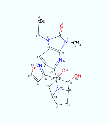 Cn1c(=O)n(CC(C)(C)C)c2ccc(C3CC4CCC(C3O)N4C(=O)c3ccon3)nc21